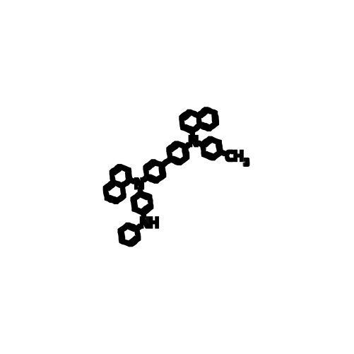 Cc1ccc(N(c2ccc(-c3ccc(N(C4=CC=CC5=CC=CCC54)c4ccc(Nc5ccccc5)cc4)cc3)cc2)c2cccc3ccccc23)cc1